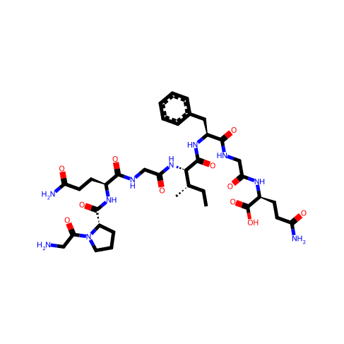 CC[C@H](C)[C@H](NC(=O)CNC(=O)[C@H](CCC(N)=O)NC(=O)[C@@H]1CCCN1C(=O)CN)C(=O)N[C@@H](Cc1ccccc1)C(=O)NCC(=O)N[C@@H](CCC(N)=O)C(=O)O